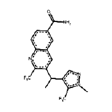 CC(c1cc2cc(C(N)=O)ccc2nc1C(F)(F)F)c1cnn(C)c1C(F)(F)F